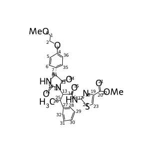 COCCOc1ccc([C@H]2NC(=O)N(C(C(=O)Nc3nc(C(=O)OC)cs3)C(C)c3ccccc3)C2=O)cc1